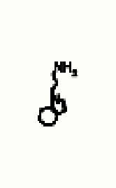 NCCCn1ccc2c1CCCC2